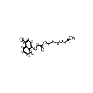 C#CCOCCCOC(=O)COc1ccc(Cl)c2cccnc12